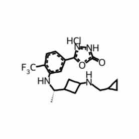 C[C@H](Nc1cc(-c2n[nH]c(=O)o2)ccc1C(F)(F)F)C1CC(NCC2CC2)C1.Cl